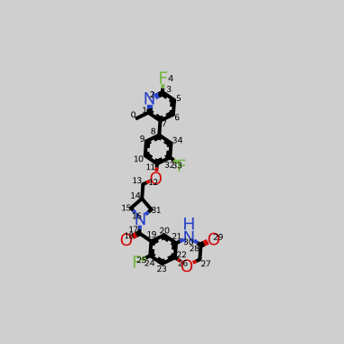 Cc1nc(F)ccc1-c1ccc(OCC2CN(C(=O)c3cc4c(cc3F)OCC(=O)N4)C2)c(F)c1